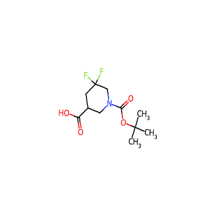 CC(C)(C)OC(=O)N1CC(C(=O)O)CC(F)(F)C1